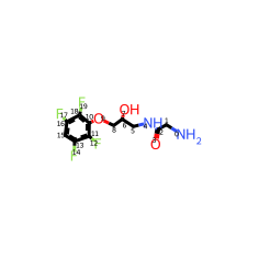 NCC(=O)NCC(O)COc1c(F)c(F)cc(F)c1F